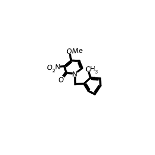 COc1ccn(Cc2ccccc2C)c(=O)c1[N+](=O)[O-]